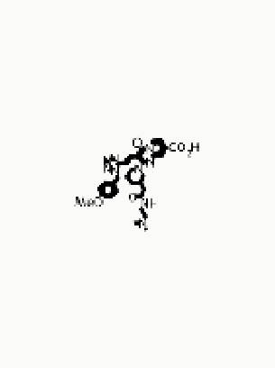 COc1ccc(Cn2nnnc2/C=C/c2c(N3CCCC(CC(=O)NCCN(C)C)C3)nc3cc(C(=O)O)ccn3c2=O)cc1